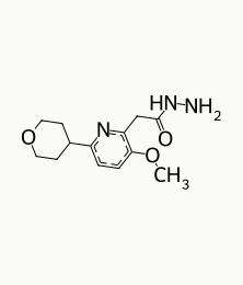 COc1ccc(C2CCOCC2)nc1CC(=O)NN